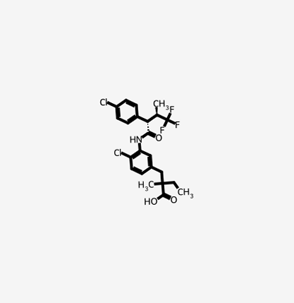 CCC(C)(Cc1ccc(Cl)c(NC(=O)[C@H](c2ccc(Cl)cc2)[C@@H](C)C(F)(F)F)c1)C(=O)O